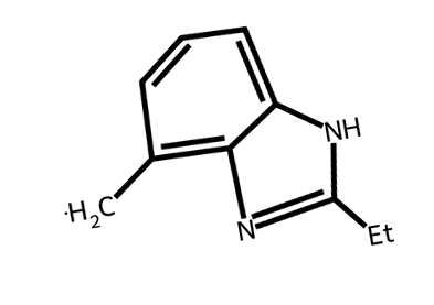 [CH2]c1cccc2[nH]c(CC)nc12